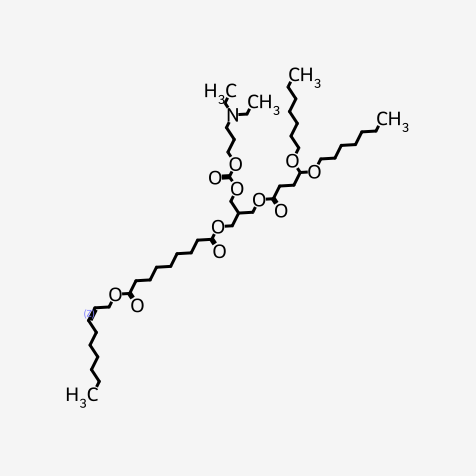 CCCCCC/C=C\COC(=O)CCCCCCCC(=O)OCC(COC(=O)CCC(OCCCCCCC)OCCCCCCC)COC(=O)OCCCN(CC)CC